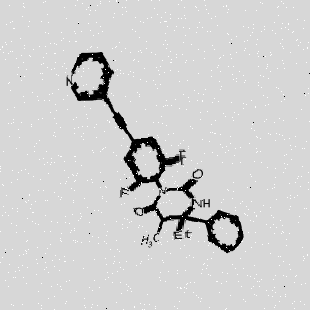 CCC1(c2ccccc2)NC(=O)N(c2c(F)cc(C#Cc3cccnc3)cc2F)C(=O)C1C